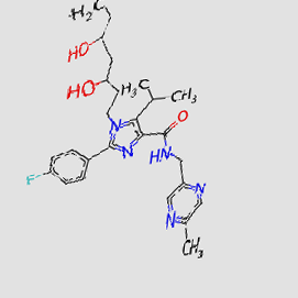 [CH2]CC(O)CC(O)CCn1c(-c2ccc(F)cc2)nc(C(=O)NCc2cnc(C)cn2)c1C(C)C